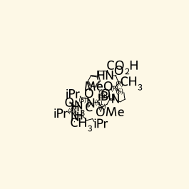 CC[C@H](C)[C@@H]([C@@H](CC(=O)N1CCC[C@H]1[C@H](OC)[C@@H](C)C(=O)NC(Cc1ccccc1)C(=O)O)OC)N(C)C(=O)[C@@H](NC(=O)[C@H](C(C)C)N(C)CCCC(C)C)C(C)C